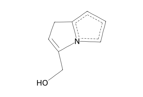 OCC1=CCc2cccn21